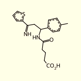 Cc1ccc(C(CC(=N)c2cccs2)NC(=O)CCCC(=O)O)cc1